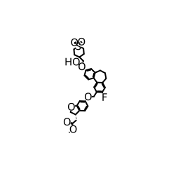 COC(=O)C[C@@H]1COc2cc(OCc3cc4c(cc3F)CCCc3cc(OCC5(O)CCS(=O)(=O)CC5)ccc3-4)ccc21